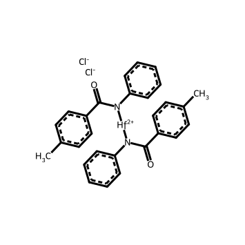 Cc1ccc(C(=O)[N]([Hf+2][N](C(=O)c2ccc(C)cc2)c2ccccc2)c2ccccc2)cc1.[Cl-].[Cl-]